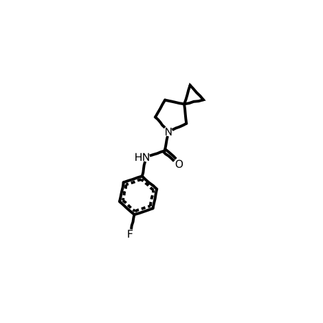 O=C(Nc1ccc(F)cc1)N1CCC2(CC2)C1